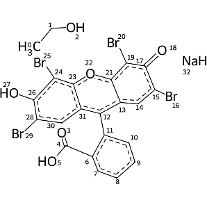 CCO.O=C(O)c1ccccc1-c1c2cc(Br)c(=O)c(Br)c-2oc2c(Br)c(O)c(Br)cc12.[NaH]